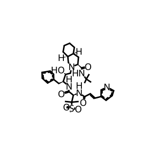 CC(C)(C)NC(=O)[C@@H]1C[C@@H]2CCCC[C@@H]2CN1C[C@@H](O)[C@H](Cc1ccccc1)NC(=O)[C@@H](NC(=O)/C=C/c1cccnc1)C(C)(C)S(C)(=O)=O